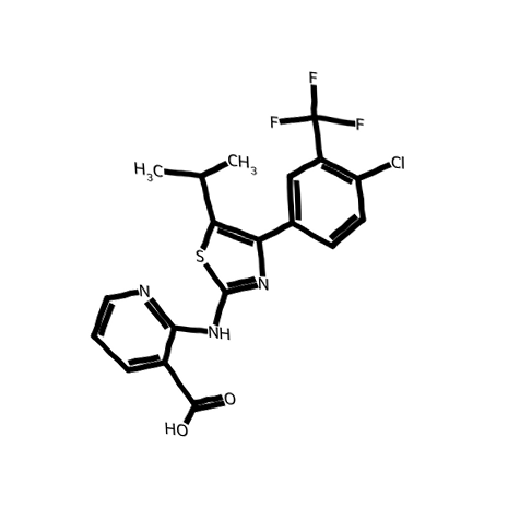 CC(C)c1sc(Nc2ncccc2C(=O)O)nc1-c1ccc(Cl)c(C(F)(F)F)c1